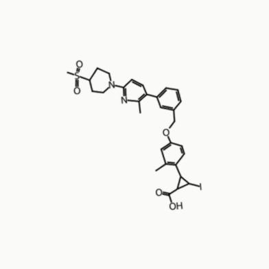 Cc1cc(OCc2cccc(-c3ccc(N4CCC(S(C)(=O)=O)CC4)nc3C)c2)ccc1C1C(I)C1C(=O)O